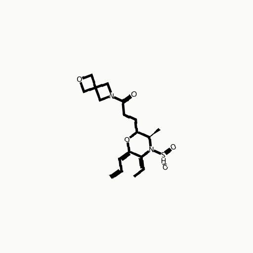 C=C/C=C1/OC(CCC(=O)N2CC3(COC3)C2)[C@@H](C)N([SH](=O)=O)/C1=C/C